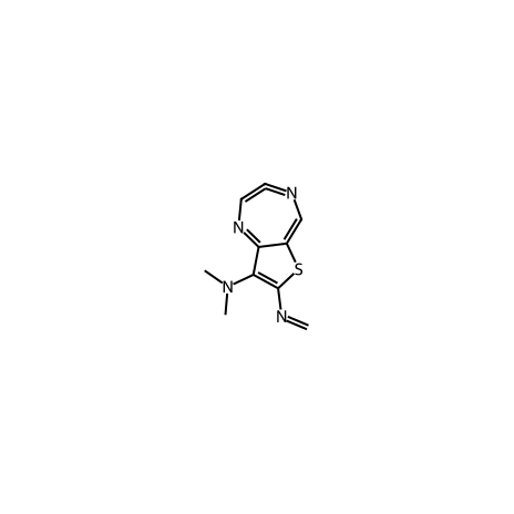 C=Nc1sc2c(c1N(C)C)=NC=C=NC=2